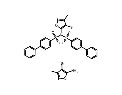 Cc1noc(N(S(=O)(=O)c2ccc(-c3ccccc3)cc2)S(=O)(=O)c2ccc(-c3ccccc3)cc2)c1Br.Cc1noc(N)c1Br